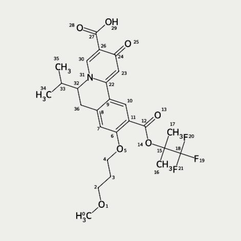 COCCCOc1cc2c(cc1C(=O)OC(C)(C)C(F)(F)F)-c1cc(=O)c(C(=O)O)cn1C(C(C)C)C2